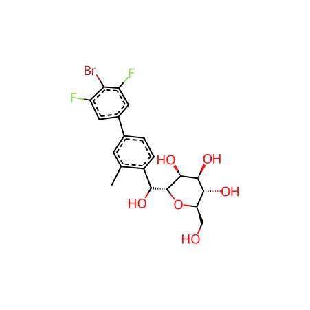 Cc1cc(-c2cc(F)c(Br)c(F)c2)ccc1C(O)[C@H]1O[C@H](CO)[C@@H](O)[C@H](O)[C@@H]1O